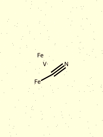 N#[C][Fe].[Fe].[V]